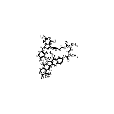 CCc1c2c(nc3ccc(OC(=O)N(C)CCN(C)C(=O)OCCC#Cc4cn(Cc5ncc(C)c(OC)c5C)c5nc(N)nc(Cl)c45)cc13)-c1cc3c(c(=O)n1C2)COC(=O)C3(O)CC